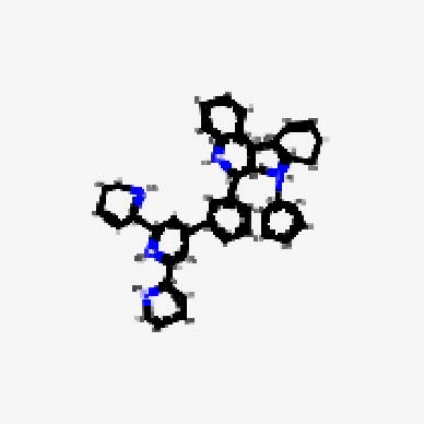 C1=CC(c2cc(-c3cccc(-c4nc5ccccc5c5c6c(n(-c7ccccc7)c45)CCC=C6)c3)cc(-c3ccccn3)n2)=NCC1